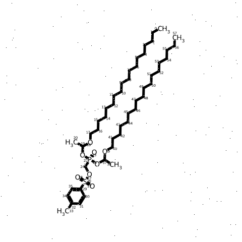 CCCCCCCCCCCCCCCCCCOC(C)OP(=O)(COS(=O)(=O)c1ccc(C)cc1)OC(C)OCCCCCCCCCCCCCCCCCC